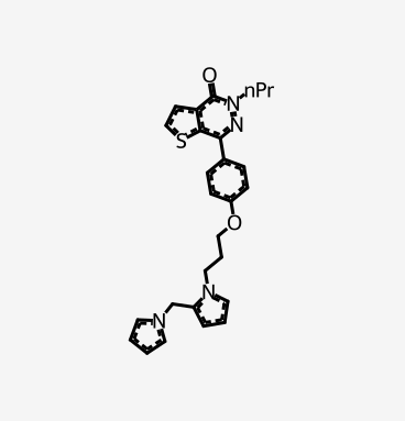 CCCn1nc(-c2ccc(OCCCn3cccc3Cn3cccc3)cc2)c2sccc2c1=O